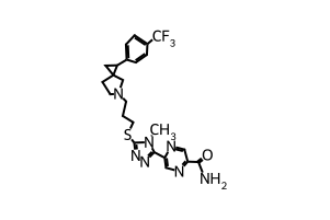 Cn1c(SCCCN2CCC3(CC3c3ccc(C(F)(F)F)cc3)C2)nnc1-c1cnc(C(N)=O)cn1